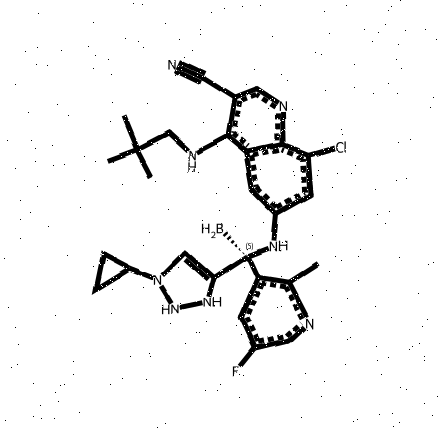 B[C@@](Nc1cc(Cl)c2ncc(C#N)c(NCC(C)(C)C)c2c1)(C1=CN(C2CC2)NN1)c1cc(F)cnc1C